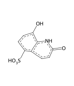 O=c1ccc2c(S(=O)(=O)O)ccc(O)c2[nH]1